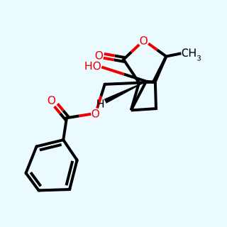 CC12C[C@@H](O)C3CC1C3(COC(=O)c1ccccc1)C(=O)O2